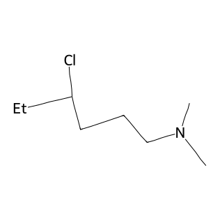 CCC(Cl)CCCN(C)C